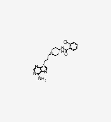 Nc1ncnc2c1ncn2CCCN1CCC(NC(=O)c2ccccc2Cl)CC1